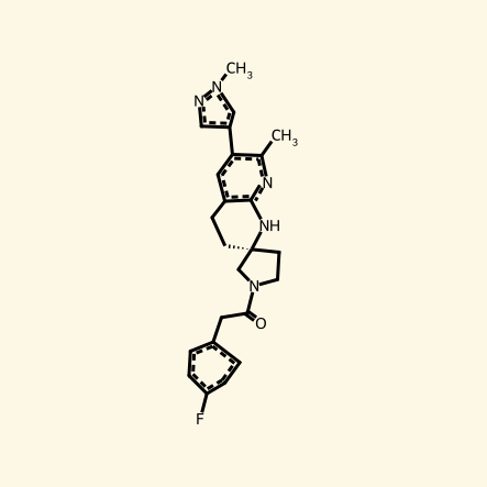 Cc1nc2c(cc1-c1cnn(C)c1)CC[C@@]1(CCN(C(=O)Cc3ccc(F)cc3)C1)N2